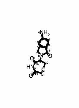 Nc1ccc2c(c1)CN(C1CCCC(=O)NC1=O)C2=O